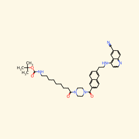 CC(C)(C)OC(=O)NCCCCCCCCC(=O)N1CCN(C(=O)c2ccc3cc(CCNc4ccnc5ccc(C#N)cc45)ccc3c2)CC1